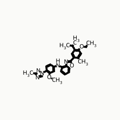 CCOc1cc(C)c(-c2nc3c(Nc4ccc(-n5cnc(C)n5)c(OC)c4)cccc3o2)cc1C(C)C